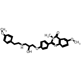 COc1ccc(CCNCC(O)COc2ccc(-c3nc4ccc(OC)cc4c(=O)n3C)cc2)cc1